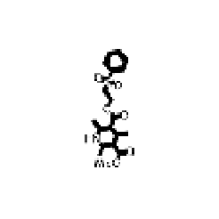 COC(=O)C1=C(C)NC(C)=C(C(=O)OCCS(=O)(=O)c2ccccc2)C1C